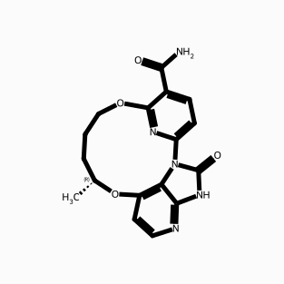 C[C@@H]1CCCOc2nc(ccc2C(N)=O)-n2c(=O)[nH]c3nccc(c32)O1